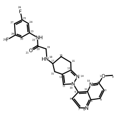 COc1ccc2nccc(-n3cc4c(n3)CCC(NCC(=O)Nc3cc(F)cc(F)c3)C4)c2n1